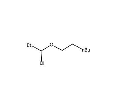 [CH2]CC(O)OCCCCCC